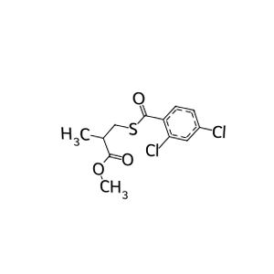 COC(=O)C(C)CSC(=O)c1ccc(Cl)cc1Cl